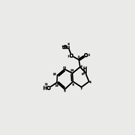 CC(C)(C)OC(=O)C1NCCc2cc(O)ccc21